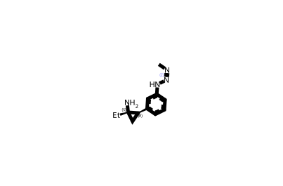 CC[C@]1(N)C[C@@H]1c1cccc(N/N=N\C)c1